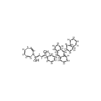 C/C(=C\C=C(/S)C1C#CC/C=C\C=C/1)c1cccc(-c2c3ccccc3c(-c3ccc4ccccc4c3)c3ccccc23)c1